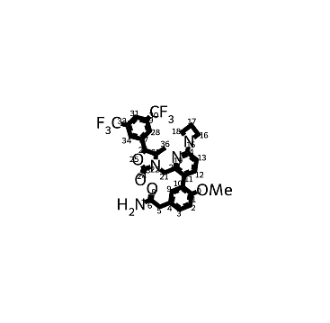 COc1ccc(CC(N)=O)cc1-c1ccc(N2CCC2)nc1CN1C(=O)OC(c2cc(C(F)(F)F)cc(C(F)(F)F)c2)C1C